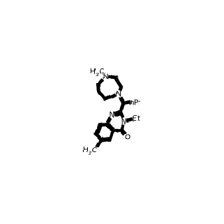 CCCC(c1nc2ccc(C)cc2c(=O)n1CC)N1CCCN(C)CC1